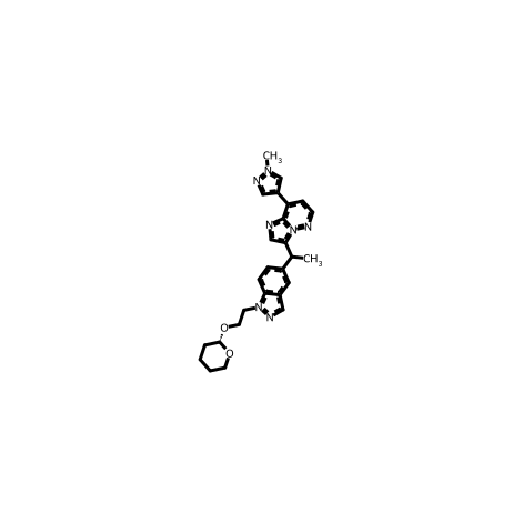 CC(c1ccc2c(cnn2CCO[C@H]2CCCCO2)c1)c1cnc2c(-c3cnn(C)c3)ccnn12